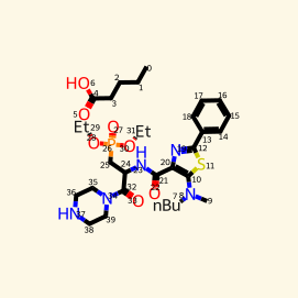 CCCCC(=O)O.CCCCN(C)c1sc(-c2ccccc2)nc1C(=O)NC(CP(=O)(OCC)OCC)C(=O)N1CCNCC1